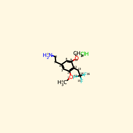 COc1cc(CCN)cc(OC)c1CC(F)(F)F.Cl